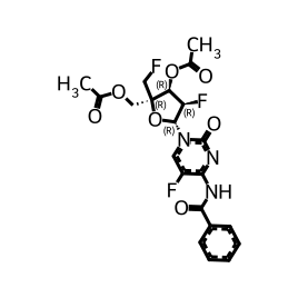 CC(=O)OC[C@@]1(CF)O[C@@H](n2cc(F)c(NC(=O)c3ccccc3)nc2=O)[C@H](F)[C@@H]1OC(C)=O